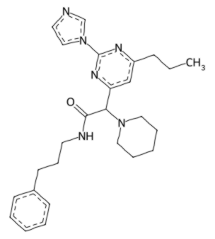 CCCc1cc(C(C(=O)NCCCc2ccccc2)N2CCCCC2)nc(-n2ccnc2)n1